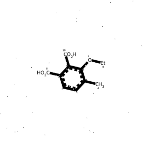 CCOc1c(C)ccc(C(=O)O)c1C(=O)O